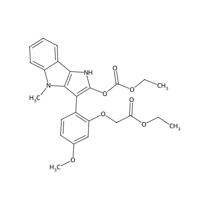 CCOC(=O)COc1cc(OC)ccc1-c1c(OC(=O)OCC)[nH]c2c3ccccc3n(C)c12